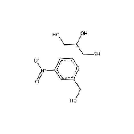 O=[N+]([O-])c1cccc(CO)c1.OCC(O)CS